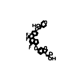 O=C(O)C[C@@H]1COc2cc(O[C@@H]3CCc4c(-c5ccc(OCC6(O)CCOCC6)cc5)c(C(F)(F)F)cc(F)c43)ccc21